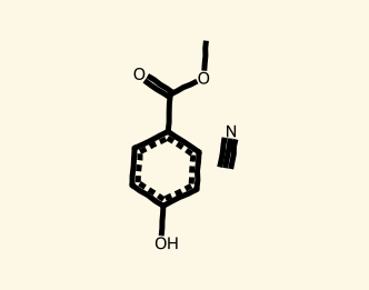 C#N.COC(=O)c1ccc(O)cc1